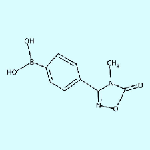 Cn1c(-c2ccc(B(O)O)cc2)noc1=O